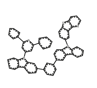 c1ccc(-c2cc(-n3c4ccccc4c4ccc(-c5cccc(-c6ccc7c(c6)c6ccccc6n7-c6ccc7oc8cccnc8c7c6)c5)cc43)cc(-c3ccccc3)n2)cc1